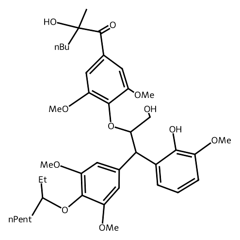 CCCCCC(CC)Oc1c(OC)cc(C(c2cccc(OC)c2O)C(CO)Oc2c(OC)cc(C(=O)C(C)(O)CCCC)cc2OC)cc1OC